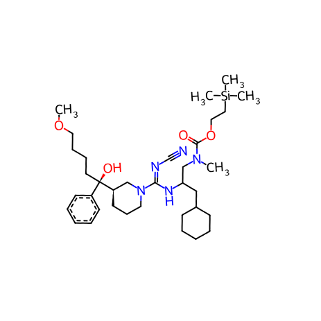 COCCCC[C@@](O)(c1ccccc1)[C@@H]1CCCN(C(=NC#N)NC(CC2CCCCC2)CN(C)C(=O)OCC[Si](C)(C)C)C1